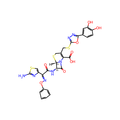 Nc1nc(C(=NOc2ccccc2)C(=O)N[C@@H]2C(=O)N3C(C(=O)O)=C(CSc4nnc(-c5ccc(O)c(O)c5)o4)CS[C@@H]23)cs1